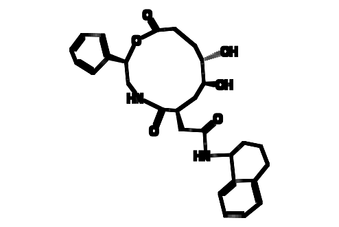 O=C(C[C@@H]1C[C@H](O)[C@@H](O)CCC(=O)O[C@H](c2ccccc2)CNC1=O)NC1CCCc2ccccc21